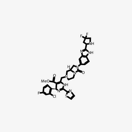 COC(=O)C1=C(CN2CCN3C(=O)N(c4ccc5[nH]c(C6CC(F)(F)CN6)nc5c4)C[C@@H]3C2)NC(c2nccs2)=N[C@H]1c1ccc(F)cc1Cl